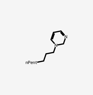 CCCCCCCCN1C=CC=NC1